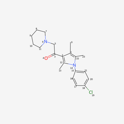 Cc1c(C(=O)CN2CCCCC2)c(C)n(-c2ccc(Cl)cc2)c1C